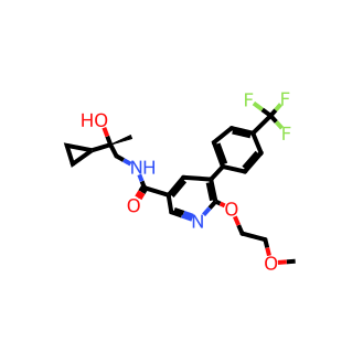 COCCOc1ncc(C(=O)NC[C@@](C)(O)C2CC2)cc1-c1ccc(C(F)(F)F)cc1